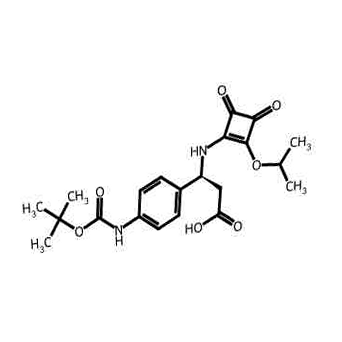 CC(C)Oc1c(N[C@@H](CC(=O)O)c2ccc(NC(=O)OC(C)(C)C)cc2)c(=O)c1=O